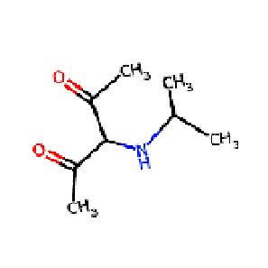 CC(=O)C(NC(C)C)C(C)=O